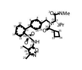 CNC(=O)[C@H](C(C)C)N(Cc1ccc(-c2ccccc2S(=O)(=O)Nc2onc(C)c2C)cc1)C(=O)C1CCC1